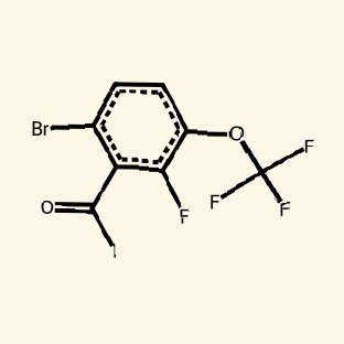 O=C(I)c1c(Br)ccc(OC(F)(F)F)c1F